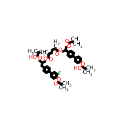 C=C(C)C(=O)OCC(COC(=O)C(=C)C/C=C(\C)C(=O)OCC(COC(O)C(=C)C)Cc1ccc(-c2ccc(OC(=O)C(=C)C)c(F)c2)cc1)c1ccc(-c2ccc(OC(O)C(=C)C)cc2)cc1